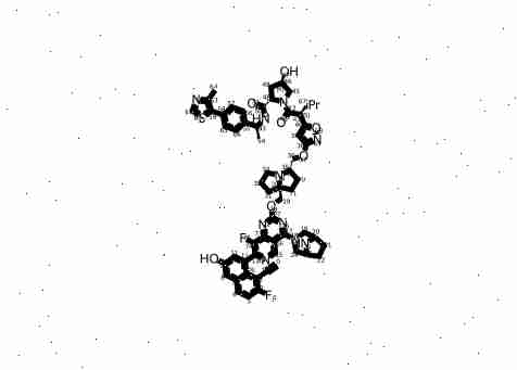 C#Cc1c(F)ccc2cc(O)cc(-c3ncc4c(N5CC6CCC(C5)N6)nc(OC[C@@]56CCCN5[C@H](COc5cc([C@@H](C(=O)N7C[C@H](O)C[C@H]7C(=O)N[C@@H](C)c7ccc(-c8scnc8C)cc7)C(C)C)on5)CC6)nc4c3F)c12